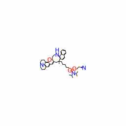 CC(C)N(C(C)C)P(OCCC#N)OCCCCCC1(C)CC2=Cc3cc4c5c(c3OC2CCNc2c1ccc1ccccc21)CCCN5CCC4